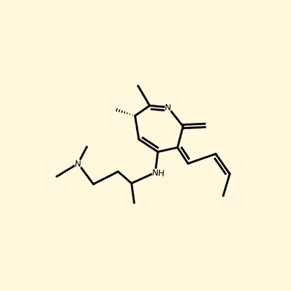 C=C1N=C(C)[C@@H](C)C=C(NC(C)CCN(C)C)/C1=C/C=C\C